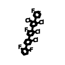 Fc1[c]ccc(-c2c(Cl)cc(-c3c(F)cc(-c4ccc(-c5c(F)cccc5F)cc4Cl)cc3Cl)cc2Cl)c1